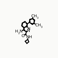 Cc1cc(C)cc(-c2cccc3c(N)c(C(=O)NC4CCC4)nnc23)c1